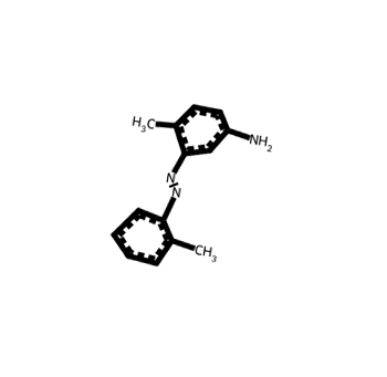 Cc1ccccc1N=Nc1cc(N)ccc1C